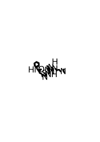 Cc1nc(NCCCN(C)C)nc(Nc2ncc(CC(=O)Nc3ccccc3)s2)n1